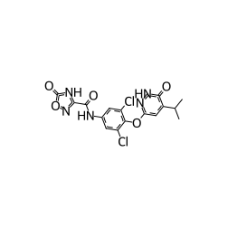 CC(C)c1cc(Oc2c(Cl)cc(NC(=O)c3noc(=O)[nH]3)cc2Cl)n[nH]c1=O